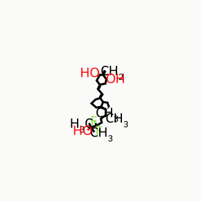 C=C1C(O)C/C(=C\C=C2/CCC[C@@]3(C)C2CC[C@@H]3[C@H](C)CCC(F)(F)C(C)(C)O)C[C@H]1O